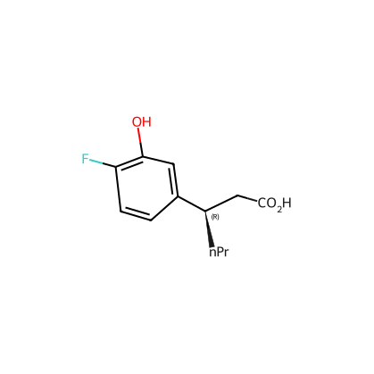 CCC[C@H](CC(=O)O)c1ccc(F)c(O)c1